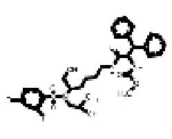 COC(=O)NC(C(=O)NCCCCC(CO)N(CC(C)C)S(=O)(=O)c1ccc(F)cc1F)C(c1ccccc1)c1ccccc1